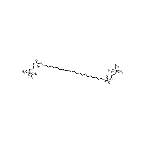 C[N+](C)(C)CCOP(=O)([O-])OCCCCCCCCCCCCCCCCCCCCCCOP(=O)([O-])OCC[N+](C)(C)C